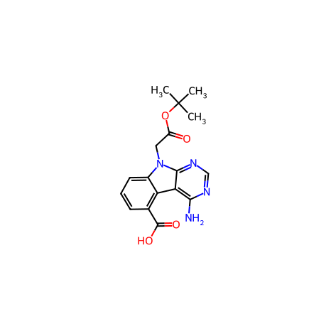 CC(C)(C)OC(=O)Cn1c2cccc(C(=O)O)c2c2c(N)ncnc21